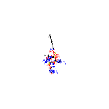 CCCCCCCCCCCCCCCC(=O)NCC(O)COP(O)(=S)OC[C@H]1O[C@@H](n2cc(C)c(=O)[nH]c2=O)CC1NP(O)(=S)OC[C@H]1O[C@@H](n2cnc3c(N)ncnc32)CC1NP(O)(=S)OC[C@H]1O[C@@H](n2cnc3c(=O)[nH]c(N)nc32)CC1NP(O)(=S)OC[C@H]1O[C@@H](n2cnc3c(=O)[nH]c(N)nc32)CC1N